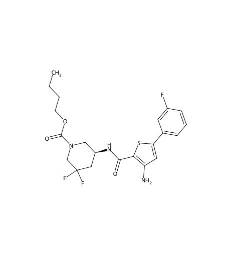 CCCCOC(=O)N1C[C@@H](NC(=O)c2sc(-c3cccc(F)c3)cc2N)CC(F)(F)C1